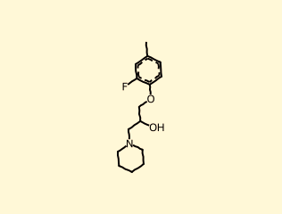 Cc1ccc(OCC(O)CN2CCCCC2)c(F)c1